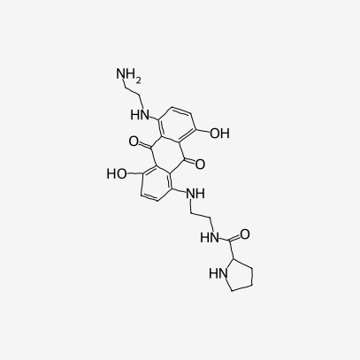 NCCNc1ccc(O)c2c1C(=O)c1c(O)ccc(NCCNC(=O)C3CCCN3)c1C2=O